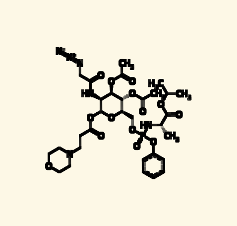 CC(=O)O[C@H]1[C@H](OC(C)=O)[C@@H](COP(=O)(N[C@@H](C)C(=O)OC(C)C)Oc2ccccc2)OC(OC(=O)CCN2CCOCC2)[C@H]1NC(=O)CN=[N+]=[N-]